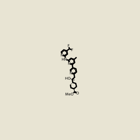 COC(=O)[C@H]1CC[C@H]([C@H](O)Cc2ccc(-c3cc(C)cc(Nc4cc(C(F)F)ccn4)n3)cn2)CC1